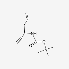 C#CC(CC=C)NC(=O)OC(C)(C)C